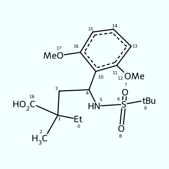 CCC(C)(CC(NS(=O)(=O)C(C)(C)C)c1c(OC)cccc1OC)C(=O)O